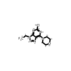 FC(F)(F)Cn1nnc2c(N3CCOCC3)nc(Cl)nc21